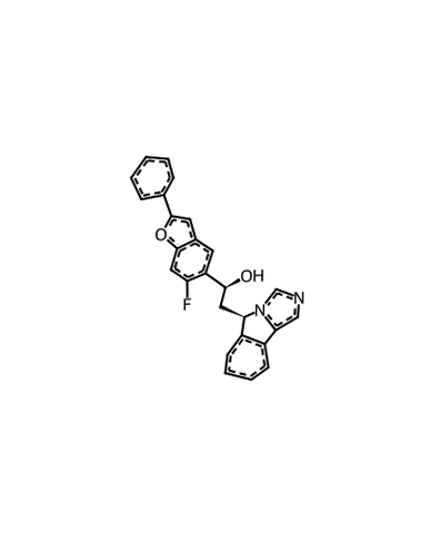 O[C@@H](C[C@@H]1c2ccccc2-c2cncn21)c1cc2cc(-c3ccccc3)oc2cc1F